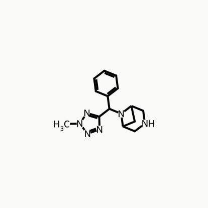 Cn1nnc(C(c2ccccc2)N2C3CNCC2C3)n1